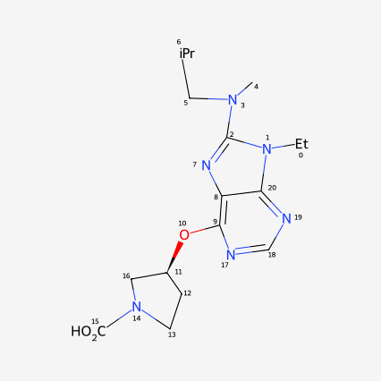 CCn1c(N(C)CC(C)C)nc2c(O[C@H]3CCN(C(=O)O)C3)ncnc21